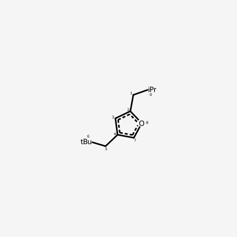 CC(C)Cc1cc(CC(C)(C)C)co1